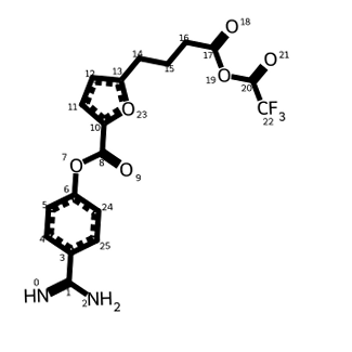 N=C(N)c1ccc(OC(=O)c2ccc(CCCC(=O)OC(=O)C(F)(F)F)o2)cc1